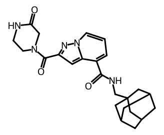 O=C1CN(C(=O)c2cc3c(C(=O)NCC45CC6CC(CC(C6)C4)C5)cccn3n2)CCN1